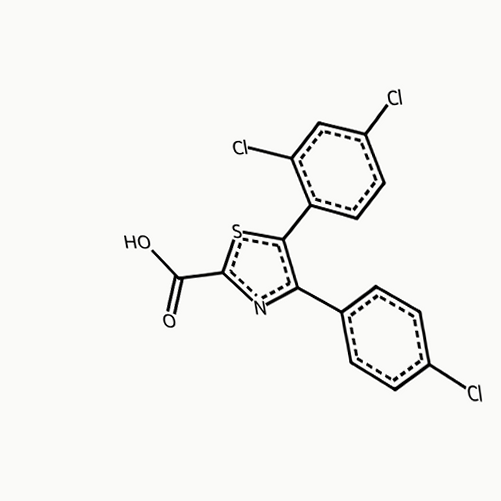 O=C(O)c1nc(-c2ccc(Cl)cc2)c(-c2ccc(Cl)cc2Cl)s1